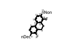 CCCCCCCCCCc1ccc2c(c1F)CCc1c-2ccc(CCCCCCCCC)c1F